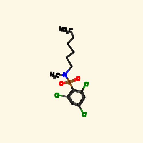 CN(CCCCCC(=O)O)S(=O)(=O)c1c(Cl)cc(Cl)cc1Cl